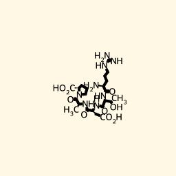 C[C@H](NC(=O)[C@H](CC(=O)O)NC(=O)[C@@H](NC(=O)[C@@H](N)CCCNC(=N)N)[C@@H](C)O)C(=O)N1CCC[C@H]1C(=O)O